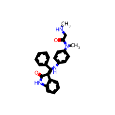 CNCC(=O)N(C)c1ccc(NC(=C2C(=O)Nc3ccccc32)c2ccccc2)cc1